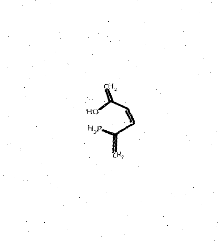 C=C(O)/C=C\C(=C)P